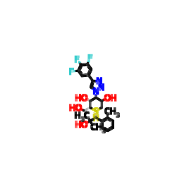 Cc1ccccc1[C@H]([SH]1C[C@H](O)[C@H](n2cc(-c3cc(F)c(F)c(F)c3)nn2)[C@@H](O)[C@H]1CO)C(C)(C)O